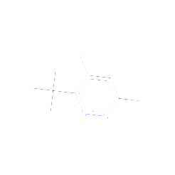 Cc1cc(F)nnc1C(C)(C)C